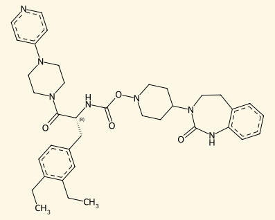 CCc1ccc(C[C@@H](NC(=O)ON2CCC(N3CCc4ccccc4NC3=O)CC2)C(=O)N2CCN(c3ccncc3)CC2)cc1CC